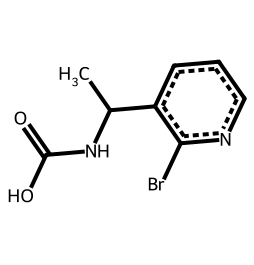 CC(NC(=O)O)c1cccnc1Br